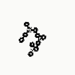 CN(c1ccccc1)c1cccc(-c2ccc(-n3c4ccccc4c4cc(-c5cccc(-c6nc(-c7ccccc7)nc(-c7ccc(-c8ccccc8)cc7)n6)c5)ccc43)cc2)c1-c1ccccc1